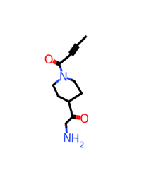 CC#CC(=O)N1CCC(C(=O)CN)CC1